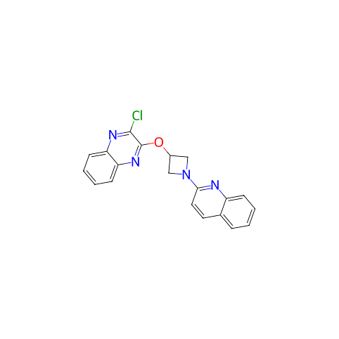 Clc1nc2ccccc2nc1OC1CN(c2ccc3ccccc3n2)C1